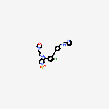 CS(=O)(=O)N1CCc2c(c(-c3ccc(Cl)c(C#Cc4ccc(CNCc5ccccn5)cc4)c3)nn2CCCN2CCOCC2)C1